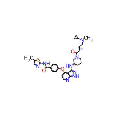 Cc1cnc(NC(=O)c2ccc(Oc3ccnc4[nH]nc(N[C@@H]5CCCN(C(=O)/C=C/CN(C)C6CC6)C5)c34)cc2)s1